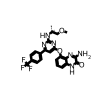 COC[C@@H](C)Nc1nc(Oc2cccc3[nH]c(=O)c(N)nc23)cc(-c2ccc(C(F)(F)F)cc2)n1